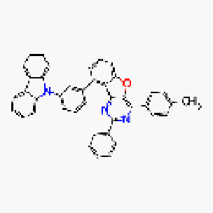 Cc1ccc(-c2nc(-c3ccccc3)nc3c2oc2cccc(-c4cccc(-n5c6ccccc6c6ccccc65)c4)c23)cc1